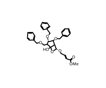 COC(=O)/C=C/CO[C@@H]1OC2(O)C1C(OCc1ccccc1)[C@H](OCc1ccccc1)C2COCc1ccccc1